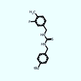 Cc1ccc(CNC(=S)NCc2ccc(C(C)(C)C)cc2)cc1F